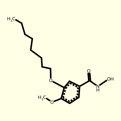 CCCCCCCCOc1cc(C(=O)NO)ccc1OC